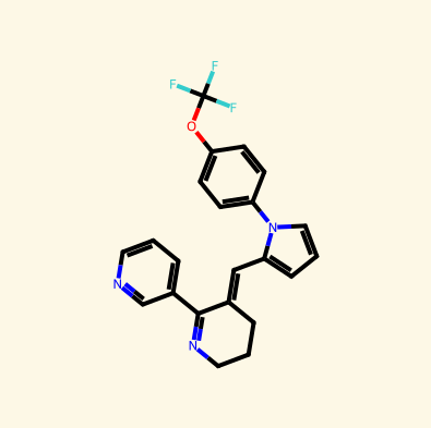 FC(F)(F)Oc1ccc(-n2cccc2/C=C2\CCCN=C2c2cccnc2)cc1